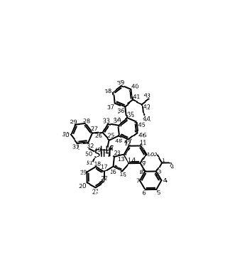 CC(C)c1ccccc1-c1cccc2c1C=C(c1ccccc1)[CH]2[Hf]([CH]1C(c2ccccc2)=Cc2c(-c3ccccc3C(C)C)cccc21)[SiH](C)C